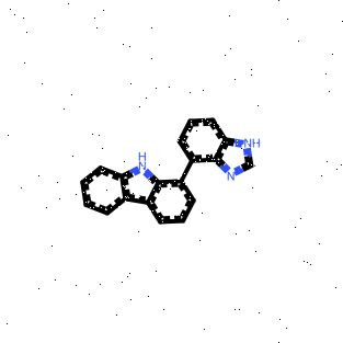 [c]1nc2c(-c3cccc4c3[nH]c3ccccc34)cccc2[nH]1